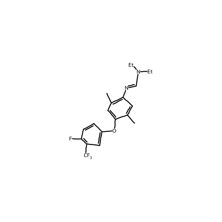 CCN(C=Nc1cc(C)c(Oc2ccc(F)c(C(F)(F)F)c2)cc1C)CC